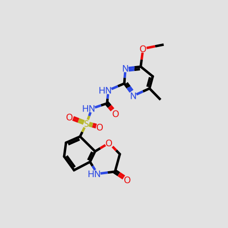 COc1cc(C)nc(NC(=O)NS(=O)(=O)c2cccc3c2OCC(=O)N3)n1